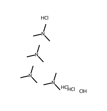 CN(C)C.CN(C)C.CN(C)C.CN(C)C.Cl.Cl.Cl.Cl